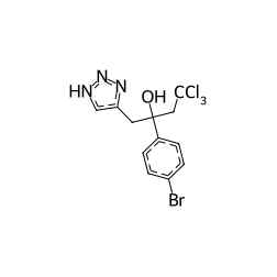 OC(Cc1c[nH]nn1)(CC(Cl)(Cl)Cl)c1ccc(Br)cc1